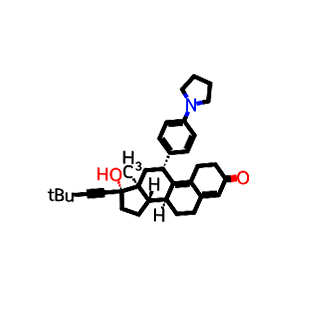 CC(C)(C)C#C[C@]1(O)CC[C@H]2[C@@H]3CCC4=CC(=O)CCC4=C3[C@@H](c3ccc(N4CCCC4)cc3)C[C@@]21C